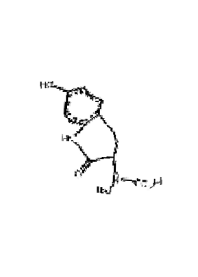 CC(C)(C)N(C(=O)O)C1CCc2ccc(O)cc2NC1=O